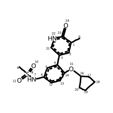 Cc1cc(-c2cc(NS(C)(=O)=O)ccc2OC2CCCC2)c[nH]c1=O